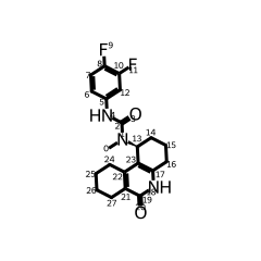 CN(C(=O)Nc1ccc(F)c(F)c1)[C@H]1CCCc2[nH]c(=O)c3c(c21)CCCC3